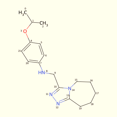 CC(C)Oc1ccc(NCc2nnc3n2CCCCC3)cc1